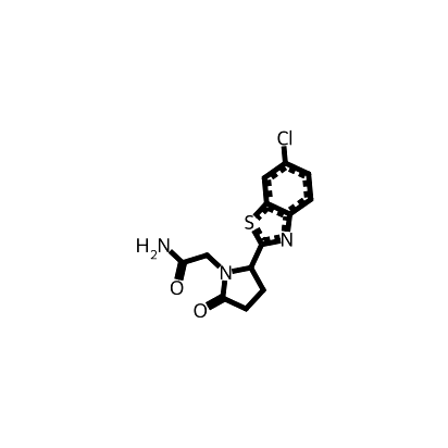 NC(=O)CN1C(=O)CCC1c1nc2ccc(Cl)cc2s1